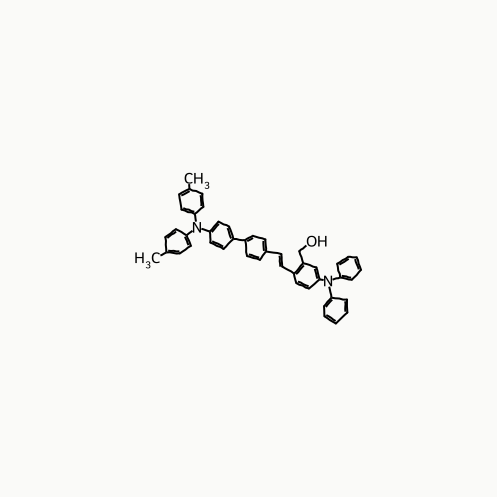 Cc1ccc(N(c2ccc(C)cc2)c2ccc(-c3ccc(/C=C/c4ccc(N(c5ccccc5)c5ccccc5)cc4CO)cc3)cc2)cc1